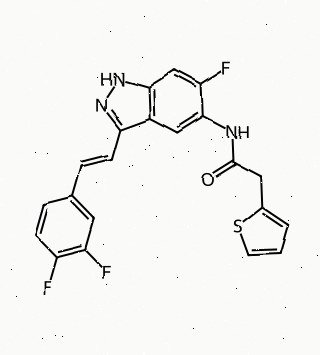 O=C(Cc1cccs1)Nc1cc2c(/C=C/c3ccc(F)c(F)c3)n[nH]c2cc1F